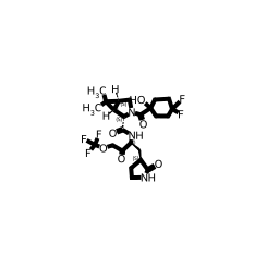 CC1(C)[C@@H]2[C@@H](C(=O)N[C@@H](C[C@@H]3CCNC3=O)C(=O)COC(F)(F)F)N(C(=O)C3(O)CCC(F)(F)CC3)C[C@@H]21